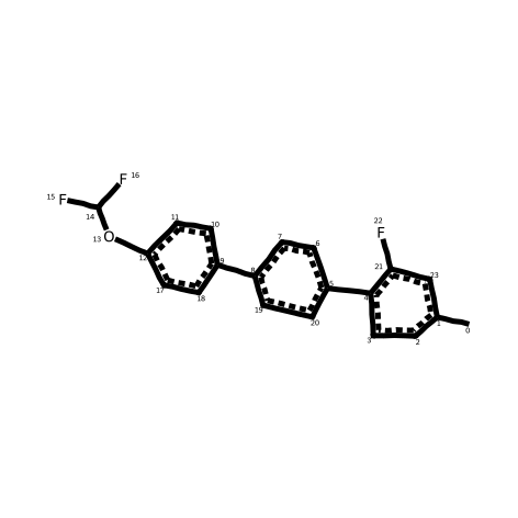 Cc1ccc(-c2ccc(-c3ccc(OC(F)F)cc3)cc2)c(F)c1